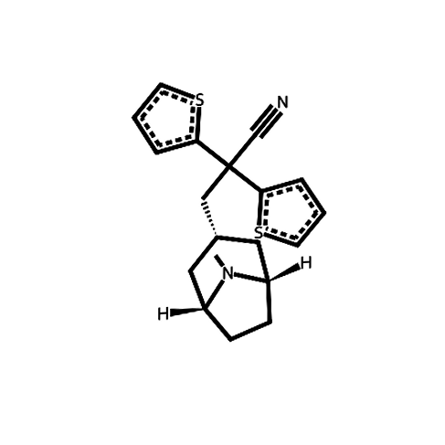 CN1[C@@H]2CC[C@H]1C[C@@H](CC(C#N)(c1cccs1)c1cccs1)C2